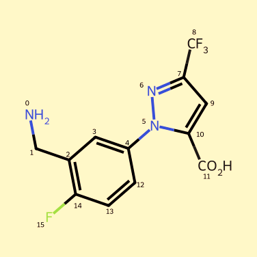 NCc1cc(-n2nc(C(F)(F)F)cc2C(=O)O)ccc1F